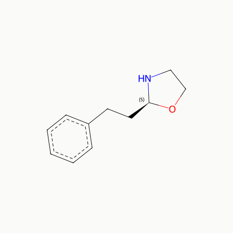 c1ccc(CC[C@H]2NCCO2)cc1